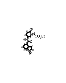 CCOC(=O)Cn1cc(NC(=O)c2cccc3c2ccn3C(C)C)ccc1=O